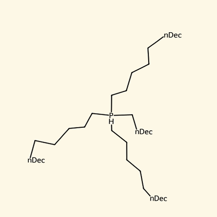 CCCCCCCCCCCCCCC[PH](CCCCCCCCCCC)(CCCCCCCCCCCCCCC)CCCCCCCCCCCCCCC